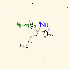 CCCC(C)(C)N.Cl